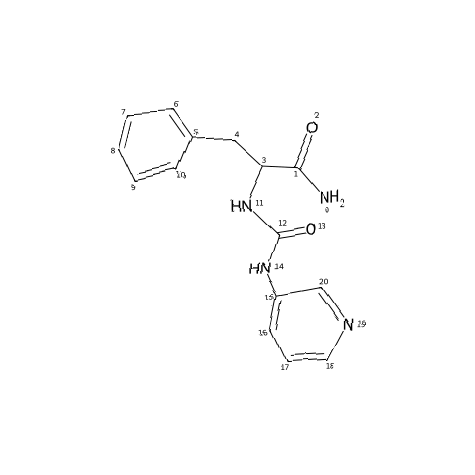 NC(=O)C(Cc1ccccc1)NC(=O)Nc1cccnc1